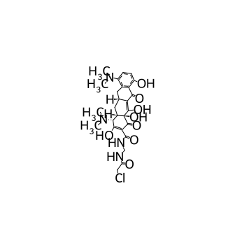 CN(C)c1ccc(O)c2c1C[C@H]1C[C@H]3[C@@H](N(C)C)C(O)=C(C(=O)NCNC(=O)CCl)C(=O)[C@@]3(O)C(O)=C1C2=O